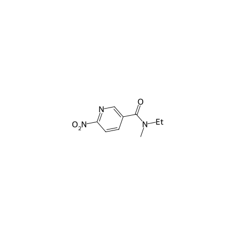 CCN(C)C(=O)c1ccc([N+](=O)[O-])nc1